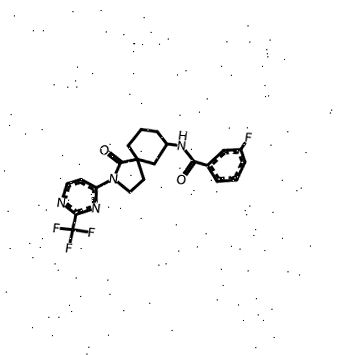 O=C(NC1CCCC2(CCN(c3ccnc(C(F)(F)F)n3)C2=O)C1)c1cccc(F)c1